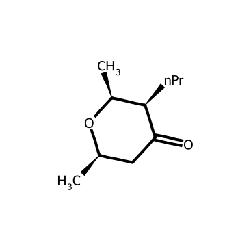 CCC[C@H]1C(=O)C[C@@H](C)O[C@H]1C